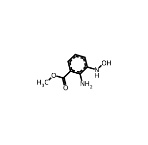 COC(=O)c1cccc(NO)c1N